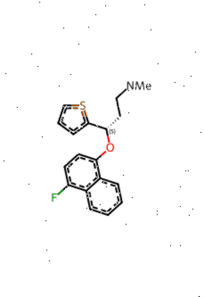 CNCC[C@H](Oc1ccc(F)c2ccccc12)c1cccs1